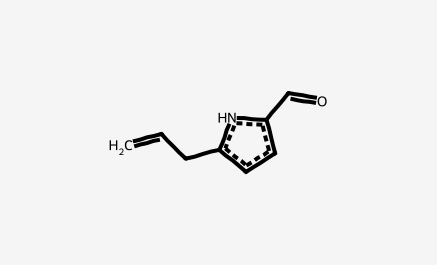 C=CCc1ccc(C=O)[nH]1